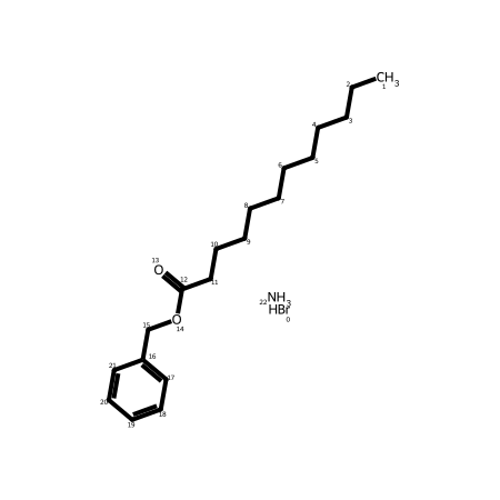 Br.CCCCCCCCCCCC(=O)OCc1ccccc1.N